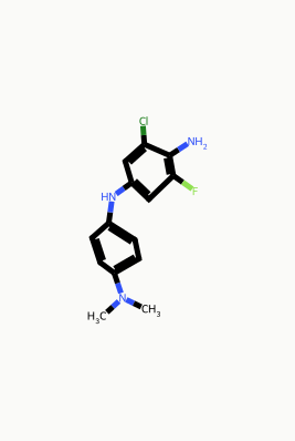 CN(C)c1ccc(Nc2cc(F)c(N)c(Cl)c2)cc1